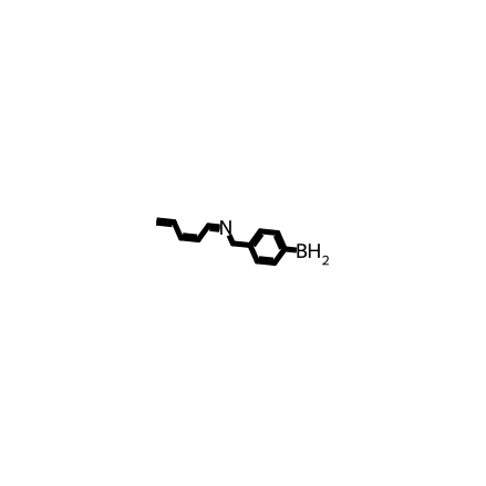 Bc1ccc(C/N=C\C=C/C=C)cc1